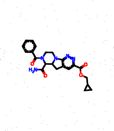 NC(=O)C1C2Cc3cc(C(=O)OCC4CC4)nnc3N2CCN1C(=O)c1ccccc1